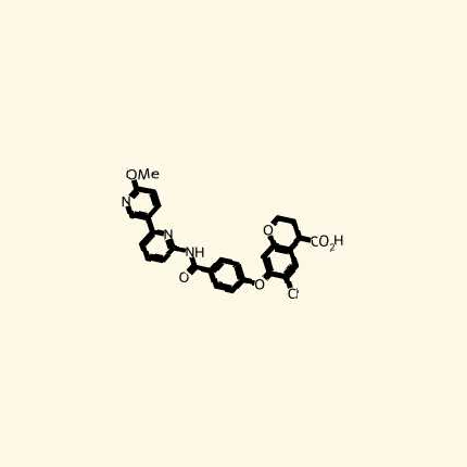 COc1ccc(-c2cccc(NC(=O)c3ccc(Oc4cc5c(cc4Cl)C(C(=O)O)CCO5)cc3)n2)cn1